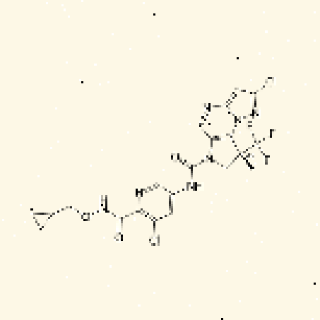 C[C@@]1(C(F)(F)F)CN(C(=O)Nc2cnc(C(=O)NOCC3CC3)c(Cl)c2)c2cnc3cc(Cl)nn3c21